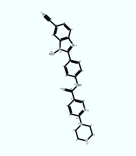 N#Cc1ccc2nc(-c3ccc(NC(=O)c4ccc(N5CCOCC5)nc4)cc3)n(O)c2c1